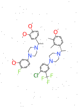 COc1cc(N2CCN(C(C)c3ccc(OC)c(OC)c3)CC2)ccc1F.COc1ccc(C(C)N2CCN(c3ccc(Cl)c(C(F)(F)F)c3)CC2)c(C)c1C